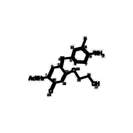 CC(=O)NC1=CC(=Nc2ccc(N)c(C)c2)C(OCCO)=CC1=O